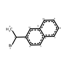 CC(Br)c1ccc2c[c]ccc2c1